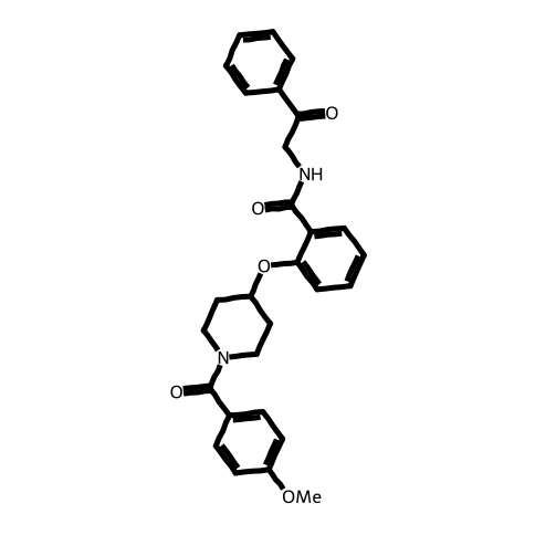 COc1ccc(C(=O)N2CCC(Oc3ccccc3C(=O)NCC(=O)c3ccccc3)CC2)cc1